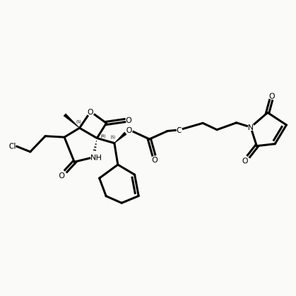 C[C@@]12OC(=O)[C@]1([C@@H](OC(=O)CCCCCN1C(=O)C=CC1=O)C1C=CCCC1)NC(=O)C2CCCl